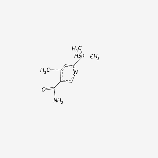 Cc1c[c]([SnH]([CH3])[CH3])ncc1C(N)=O